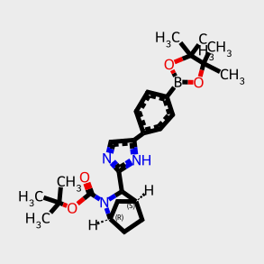 CC(C)(C)OC(=O)N1C(c2ncc(-c3ccc(B4OC(C)(C)C(C)(C)O4)cc3)[nH]2)[C@H]2CC[C@@H]1C2